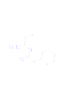 C/N=C(CC1CC=CCC1)\N=C(/N)C(C)C